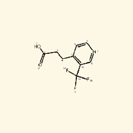 O=C(O)CCc1ccncc1C(F)(F)F